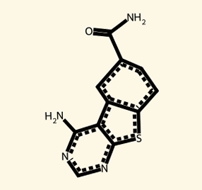 NC(=O)c1ccc2sc3ncnc(N)c3c2c1